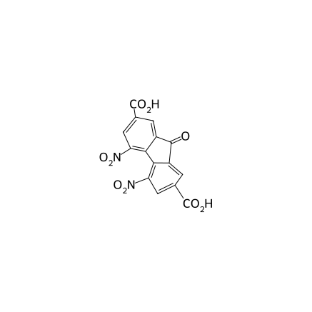 O=C(O)c1cc2c(c([N+](=O)[O-])c1)-c1c(cc(C(=O)O)cc1[N+](=O)[O-])C2=O